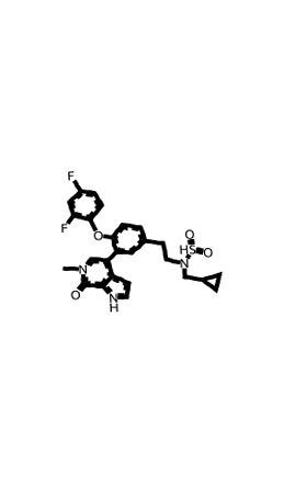 Cn1cc(-c2cc(CCN(CC3CC3)[SH](=O)=O)ccc2Oc2ccc(F)cc2F)c2cc[nH]c2c1=O